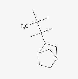 CC(C)(C1CC2CCC1C2)C(C)(C)C(F)(F)F